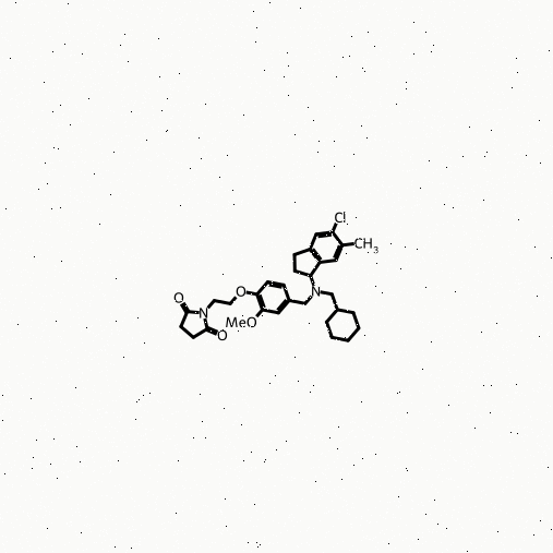 COc1cc(CN(CC2CCCCC2)C2CCc3cc(Cl)c(C)cc32)ccc1OCCN1C(=O)CCC1=O